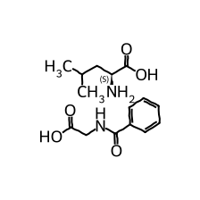 CC(C)C[C@H](N)C(=O)O.O=C(O)CNC(=O)c1ccccc1